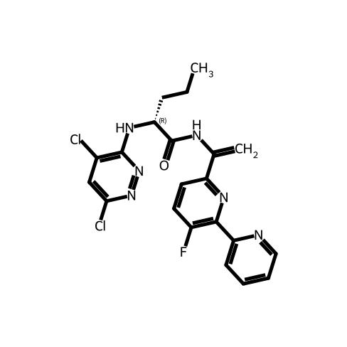 C=C(NC(=O)[C@@H](CCC)Nc1nnc(Cl)cc1Cl)c1ccc(F)c(-c2ccccn2)n1